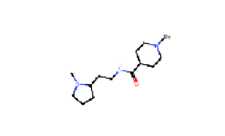 CC(C)N1CCC(C(=O)NCCC2CCCN2C)CC1